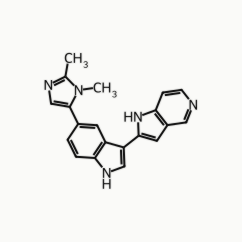 Cc1ncc(-c2ccc3[nH]cc(-c4cc5cnccc5[nH]4)c3c2)n1C